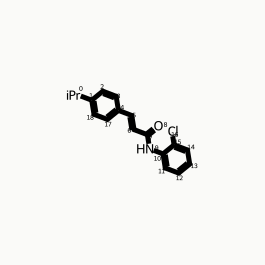 CC(C)c1ccc(C=CC(=O)Nc2ccccc2Cl)cc1